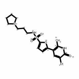 CCc1cc(-c2ccc(S(=O)(=O)NCCCN3CCCC3)o2)c(C)[nH]c1=O